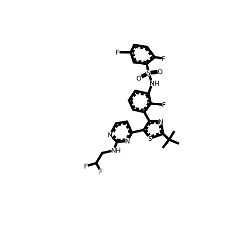 CC(C)(C)c1nc(-c2cccc(NS(=O)(=O)c3cc(F)ccc3F)c2F)c(-c2ccnc(NCC(F)F)n2)s1